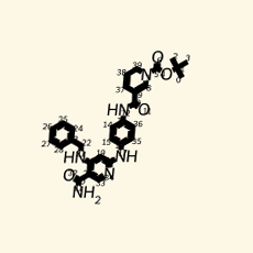 CC(C)(C)OC(=O)N1C=C(C(=O)Nc2ccc(Nc3cc(NCc4ccccc4)c(C(N)=O)cn3)cc2)C=CC1